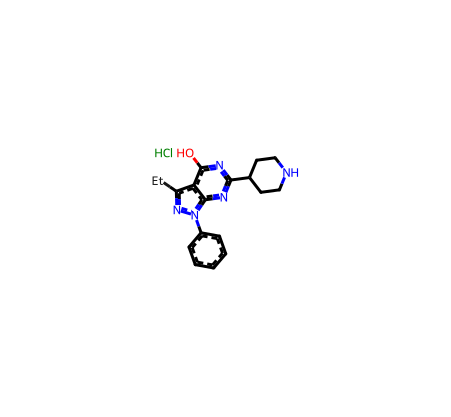 CCc1nn(-c2ccccc2)c2nc(C3CCNCC3)nc(O)c12.Cl